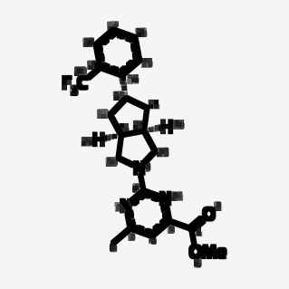 COC(=O)c1cc(C)nc(N2C[C@H]3C[C@H](c4ccccc4C(F)(F)F)C[C@H]3C2)n1